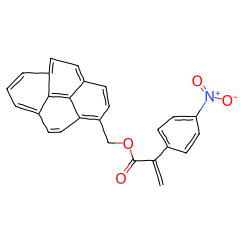 C=C(C(=O)OCc1ccc2ccc3cccc4ccc1c2c34)c1ccc([N+](=O)[O-])cc1